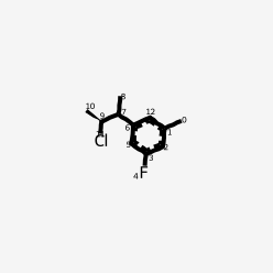 Cc1cc(F)cc(C(C)[C@H](C)Cl)c1